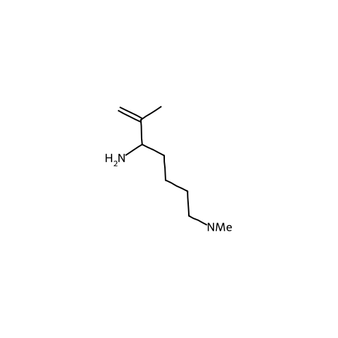 C=C(C)C(N)CCCCNC